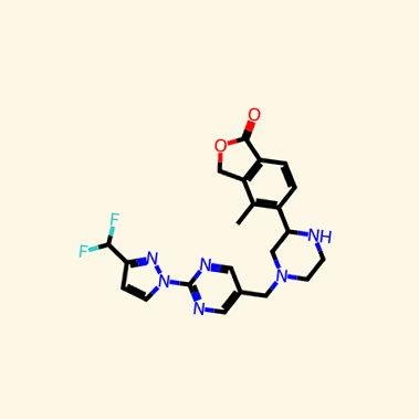 Cc1c(C2CN(Cc3cnc(-n4ccc(C(F)F)n4)nc3)CCN2)ccc2c1COC2=O